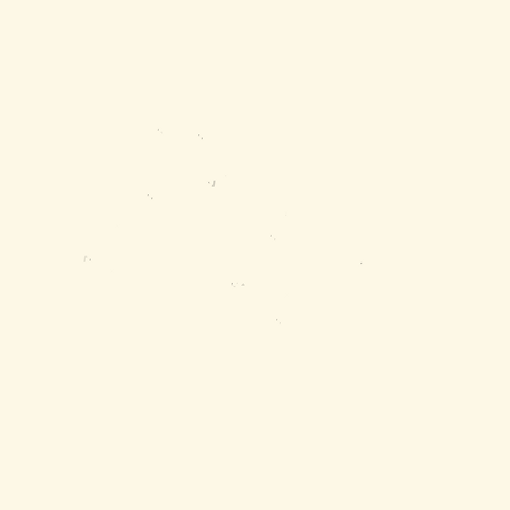 COc1c(NC(=O)c2ccc(C)c(Nc3ncnc4ccc(C5CCNC5)nc34)c2)cc(C(C)(C)C)cc1N[S+](C)[O-]